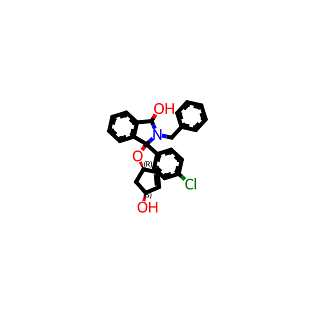 OC1c2ccccc2C(O[C@H]2C=C[C@@H](O)C2)(c2ccc(Cl)cc2)N1Cc1ccccc1